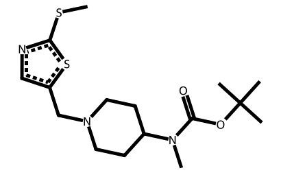 CSc1ncc(CN2CCC(N(C)C(=O)OC(C)(C)C)CC2)s1